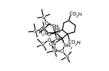 C[Si](C)(C)O[SiH2]C([SiH2]O[Si](C)(C)C)([SiH2]O[Si](C)(C)C)C1CC(C(=O)O)CCC1(C(=O)O)C([SiH2]O[Si](C)(C)C)([SiH2]O[Si](C)(C)C)[SiH2]O[Si](C)(C)C